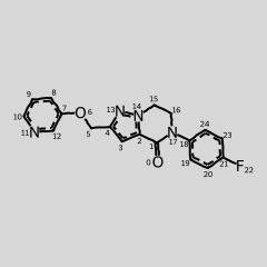 O=C1c2cc(COc3cccnc3)nn2CCN1c1ccc(F)cc1